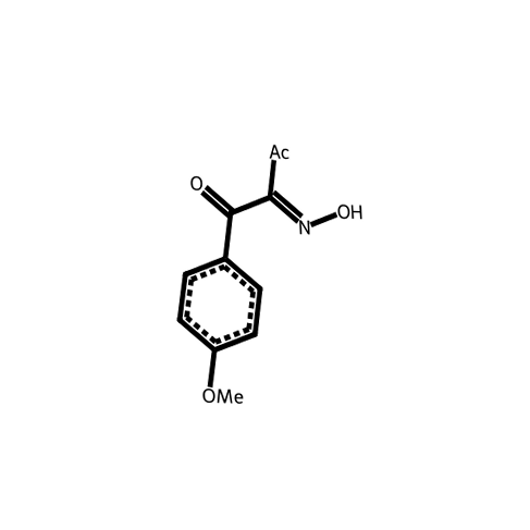 COc1ccc(C(=O)C(=NO)C(C)=O)cc1